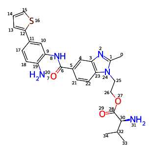 Cc1nc2cc(C(=O)Nc3cc(-c4cccs4)ccc3N)ccc2n1CCOC(=O)[C@@H](N)C(C)C